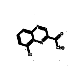 CCc1cccc2ncc(C(=O)C=O)nc12